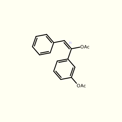 CC(=O)O/C(=C/c1ccccc1)c1cccc(OC(C)=O)c1